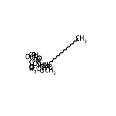 CCCCCCCCCCCCCCCCCC(=O)NC(C)C(=O)NC(C)C(=O)N1CCCC1C(=O)NC(Cc1ccccc1)C(=O)O